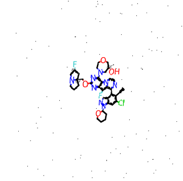 C#Cc1c(Cl)cc2c(cnn2C2CCCCO2)c1-c1nccn2c1c(F)c1nc(OC[C@@]34CCCN3C[C@H](F)C4)nc(N3CCOC[C@@](C)(O)C3)c12